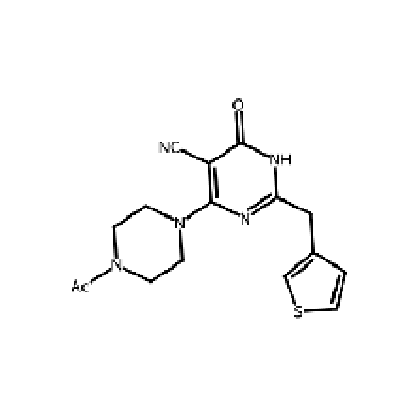 CC(=O)N1CCN(c2nc(Cc3ccsc3)[nH]c(=O)c2C#N)CC1